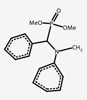 COP(=O)(OC)C(c1ccccc1)N(C)c1ccccc1